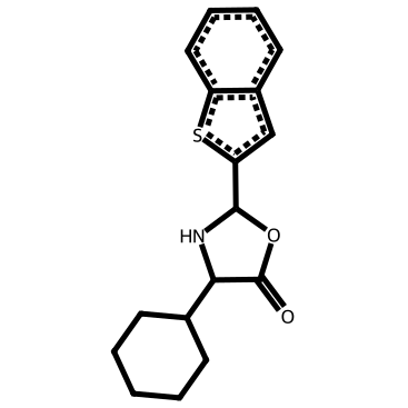 O=C1OC(c2cc3ccccc3s2)NC1C1CCCCC1